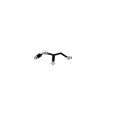 N#CNC(=O)CS